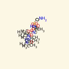 CC[C@@H](C)[C@@H]([C@@H](CC(=O)N1CCC[C@H]1[C@H](OC)[C@@H](C)C(=O)NS(=O)(=O)Cc1ccc(N)cc1)OC)N(C)C(=O)[C@@H](NC(=O)[C@H](C(C)C)N(C)C)C(C)C